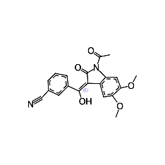 COc1cc2c(cc1OC)N(C(C)=O)C(=O)/C2=C(/O)c1cccc(C#N)c1